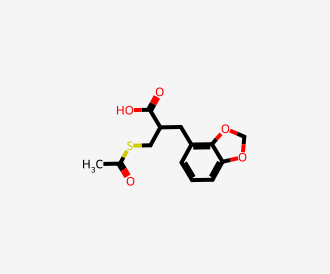 CC(=O)SCC(Cc1cccc2c1OCO2)C(=O)O